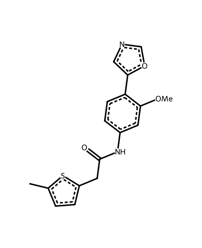 COc1cc(NC(=O)Cc2ccc(C)s2)ccc1-c1cnco1